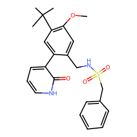 COc1cc(CNS(=O)(=O)Cc2ccccc2)c(-c2ccc[nH]c2=O)cc1C(C)(C)C